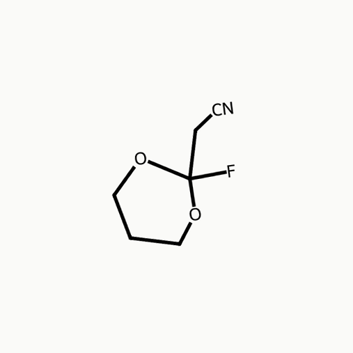 N#CCC1(F)OCCCO1